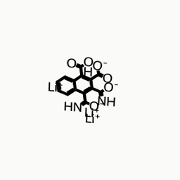 N=C([O-])c1c(C(=O)[O-])c(C(=O)O)c2ccccc2c1C(=N)[O-].[Li+].[Li+].[Li+]